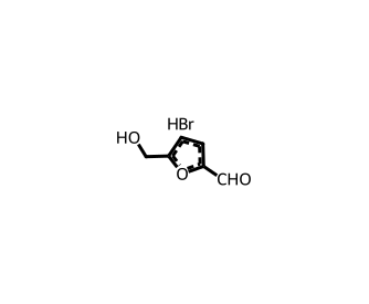 Br.O=Cc1ccc(CO)o1